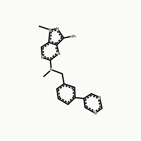 CCCc1nn(C)c2cnc(N(C)Cc3cccc(-c4cncnc4)c3)nc12